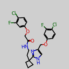 O=C(COc1ccc(Cl)c(F)c1)NCCC1(c2nc(COc3ccc(Cl)c(F)c3)c[nH]2)CCC1